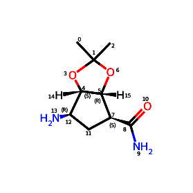 CC1(C)O[C@@H]2[C@H](O1)[C@@H](C(N)=O)C[C@H]2N